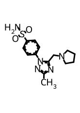 Cc1nc(CN2CCCC2)n(-c2ccc(S(N)(=O)=O)cc2)n1